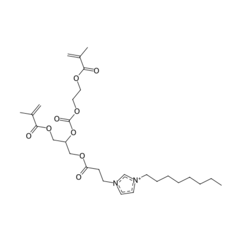 C=C(C)C(=O)OCCOC(=O)OC(COC(=O)CCn1cc[n+](CCCCCCCC)c1)COC(=O)C(=C)C